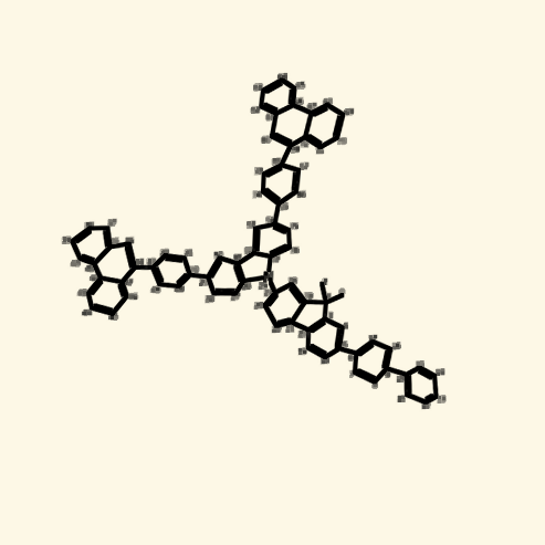 CC1(C)c2cc(-c3ccc(-c4ccccc4)cc3)ccc2-c2ccc(-n3c4ccc(-c5ccc(-c6cc7ccccc7c7ccccc67)cc5)cc4c4cc(-c5ccc(-c6cc7ccccc7c7ccccc67)cc5)ccc43)cc21